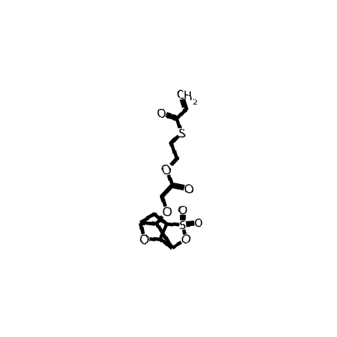 C=CC(=O)SCCOC(=O)COC1C2CC3C(O2)C1OS3(=O)=O